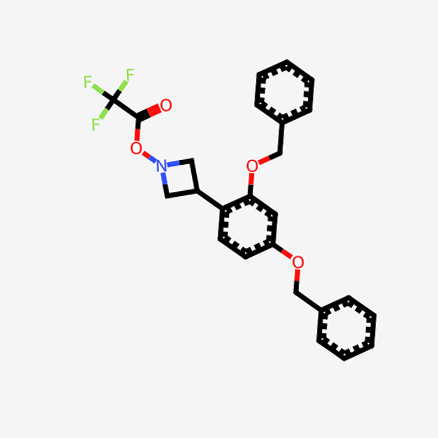 O=C(ON1CC(c2ccc(OCc3ccccc3)cc2OCc2ccccc2)C1)C(F)(F)F